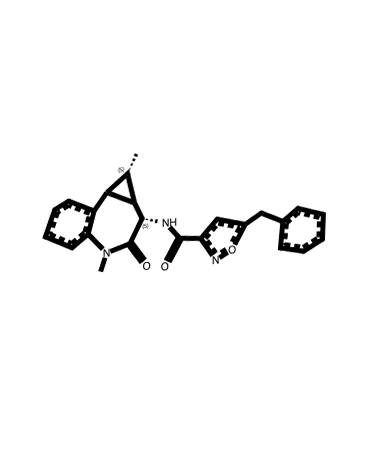 C[C@H]1C2c3ccccc3N(C)C(=O)[C@@H](NC(=O)c3cc(Cc4ccccc4)on3)C21